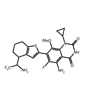 COc1c(-c2cc3c(s2)CCCC3C(N)C(F)(F)F)c(F)c(N)c2c(=O)[nH]c(=O)n(C3CC3)c12